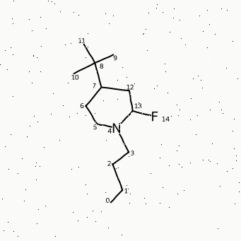 CCCCN1CCC(C(C)(C)C)CC1F